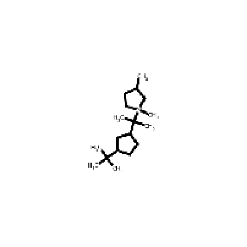 CC1CC[N+](C)(C(C)(C)C2CCC(C(C)(C)C)C2)C1